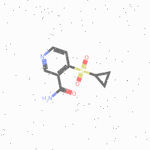 NC(=O)c1cnccc1S(=O)(=O)C1CC1